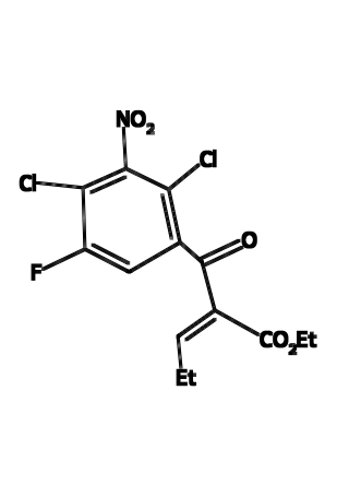 CCC=C(C(=O)OCC)C(=O)c1cc(F)c(Cl)c([N+](=O)[O-])c1Cl